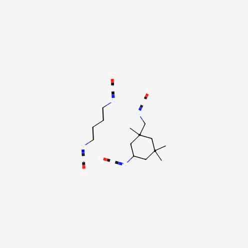 CC1(C)CC(N=C=O)CC(C)(CN=C=O)C1.O=C=NCCCCN=C=O